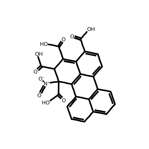 O=C(O)C1=c2c(C(=O)O)ccc3c2c(c2cccc4cccc3c42)C(C(=O)O)([N+](=O)[O-])C1C(=O)O